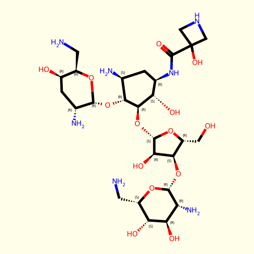 NC[C@@H]1O[C@H](O[C@H]2[C@@H](O)[C@H](O[C@@H]3[C@@H](O)[C@H](NC(=O)C4(O)CNC4)C[C@H](N)[C@H]3O[C@H]3O[C@H](CN)[C@H](O)C[C@H]3N)O[C@@H]2CO)[C@H](N)[C@@H](O)[C@@H]1O